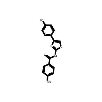 CC(C)(C)c1ccc(C(=O)Nc2nc(-c3ccc(Br)cc3)cs2)cc1